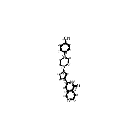 N#Cc1ccc(N2CCN([C@H]3C=C(c4cc5cnccc5c(=O)[nH]4)CC3)CC2)cc1